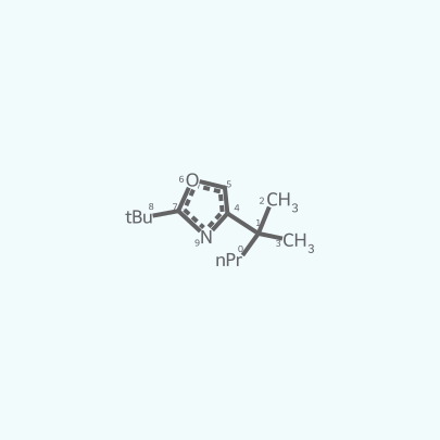 CCCC(C)(C)c1coc(C(C)(C)C)n1